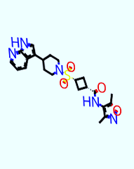 Cc1noc(C)c1NC(=O)[C@H]1C[C@@H](S(=O)(=O)N2CCC(c3c[nH]c4ncccc34)CC2)C1